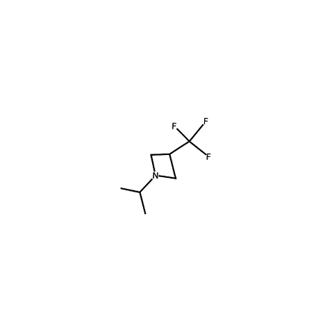 CC(C)N1CC(C(F)(F)F)C1